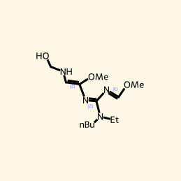 CCCCN(CC)C(=N/C(=C/NCO)OC)/N=C/OC